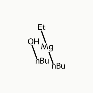 CCCCO.CCC[CH2][Mg][CH2]C